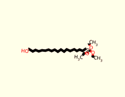 CCO[Si](CCCCCCCCCCCCCCCCCCCO)(OCC)OCC